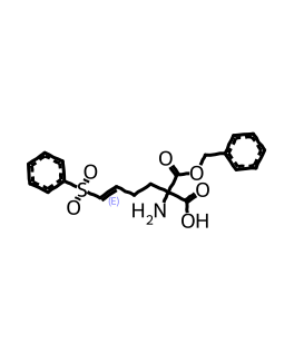 NC(CC/C=C/S(=O)(=O)c1ccccc1)(C(=O)O)C(=O)OCc1ccccc1